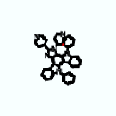 C1=CC2c3c(c4c(nc(-c5ccncc5)n4-c4ccncc4)c4c5ccccc5n(-c5ccccc5)c34)N(c3ccccc3)C2C=C1